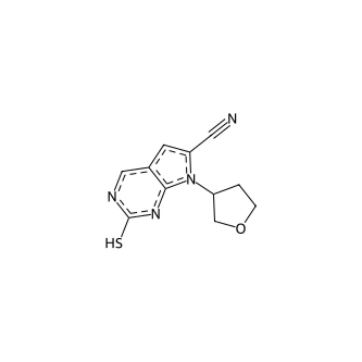 N#Cc1cc2cnc(S)nc2n1C1CCOC1